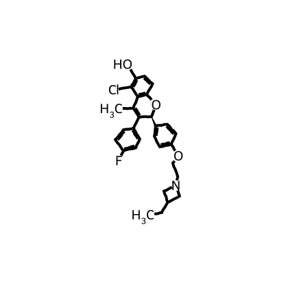 CCC1CN(CCOc2ccc([C@@H]3Oc4ccc(O)c(Cl)c4C(C)=C3c3ccc(F)cc3)cc2)C1